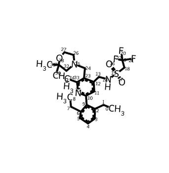 CCc1cccc(CC)c1-c1cc(CNS(=O)(=O)CC(F)(F)F)c(CN2CCOC(C)(C)C2)c(C)n1